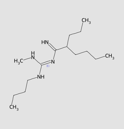 CCCCN/C(=N/C(=N)C(CCC)CCCC)NC